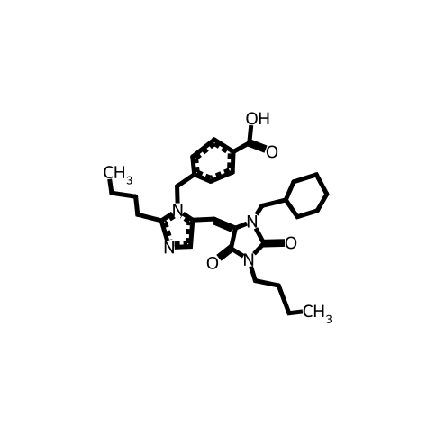 CCCCc1ncc(C=C2C(=O)N(CCCC)C(=O)N2CC2CCCCC2)n1Cc1ccc(C(=O)O)cc1